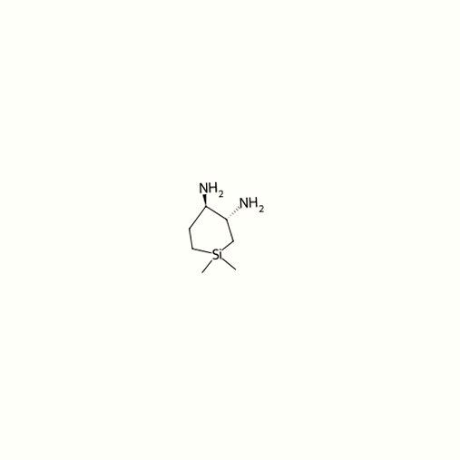 C[Si]1(C)CC[C@@H](N)[C@H](N)C1